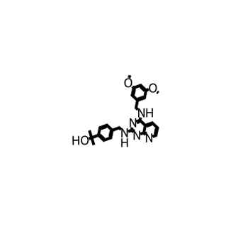 COc1cc(CNc2nc(NCc3ccc(C(C)(C)O)cc3)nc3ncccc23)cc(OC)c1